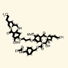 C/C=C/C1=CN2C(=O)c3cc(OC)c(OCCCOc4cc5c(cc4OC)C(=O)N4C=C(/C=C/C)C[C@H]4[C@H](O)N5C(=O)OCc4ccc(NC(=O)CC)cc4)cc3NCC2C1